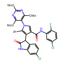 COc1nc(OC)c(-n2cc(C(=O)Nc3cc(Cl)ccc3F)c(C3C(=O)Nc4cc(Cl)ccc43)c2C(C)C)c(OC)n1